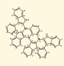 c1ccc(-c2c(N3c4cccc5c4B(c4c3oc3ccccc43)c3c(oc4ccccc34)N5c3oc4ccccc4c3-c3ccccc3)oc3ccccc23)cc1